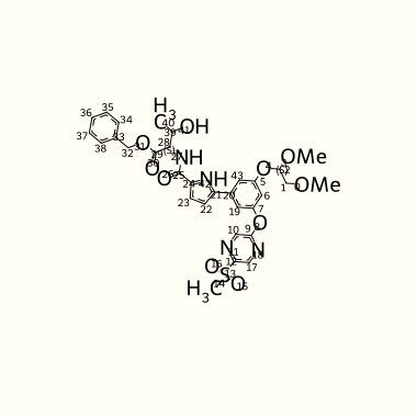 COC[C@@H](OC)Oc1cc(Oc2cnc(S(C)(=O)=O)cn2)cc(-c2ccc(C(=O)N[C@H](C(=O)OCc3ccccc3)C(C)O)[nH]2)c1